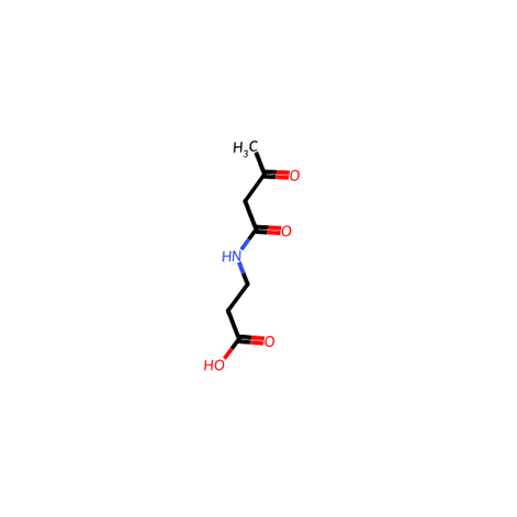 CC(=O)CC(=O)NCCC(=O)O